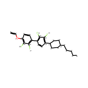 C=COc1ccc(-c2ccc(C3CCC(CCCCC)CC3)c(F)c2F)c(F)c1F